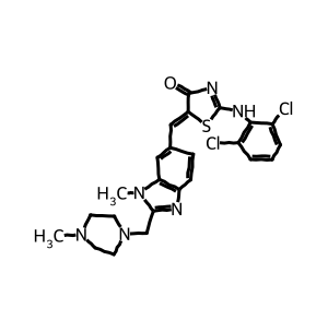 CN1CCN(Cc2nc3ccc(/C=C4\SC(Nc5c(Cl)cccc5Cl)=NC4=O)cc3n2C)CC1